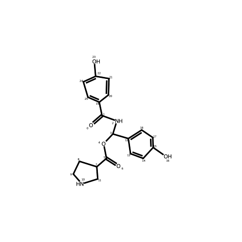 O=C(NC(OC(=O)C1CCNC1)c1ccc(O)cc1)c1ccc(O)cc1